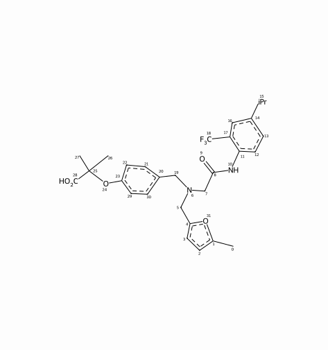 Cc1ccc(CN(CC(=O)Nc2ccc(C(C)C)cc2C(F)(F)F)Cc2ccc(OC(C)(C)C(=O)O)cc2)o1